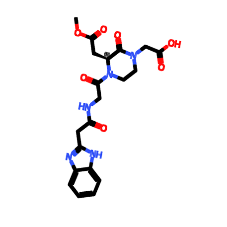 COC(=O)C[C@H]1C(=O)N(CC(=O)O)CCN1C(=O)CNC(=O)Cc1nc2ccccc2[nH]1